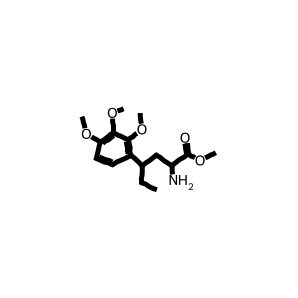 CCC(CC(N)C(=O)OC)c1ccc(OC)c(OC)c1OC